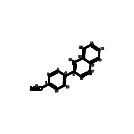 COc1ccc(-c2[c]nc3ccccc3n2)cc1